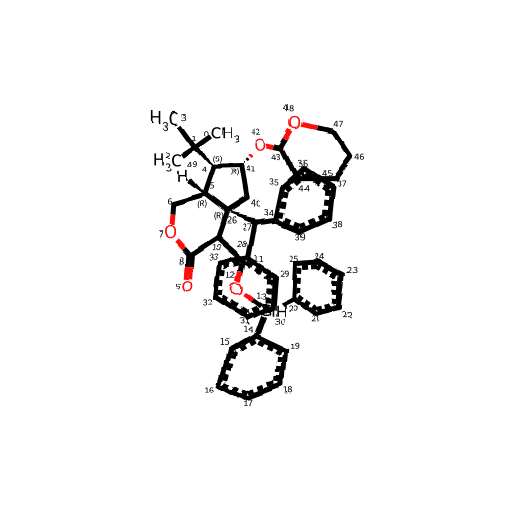 CC(C)(C)[C@@H]1[C@H]2COC(=O)C(CO[SiH](c3ccccc3)c3ccccc3)[C@@]2(C(c2ccccc2)c2ccccc2)C[C@H]1OC1CCCCO1